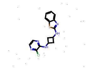 Clc1nccnc1NC1CC(Nc2nc3ccccc3s2)C1